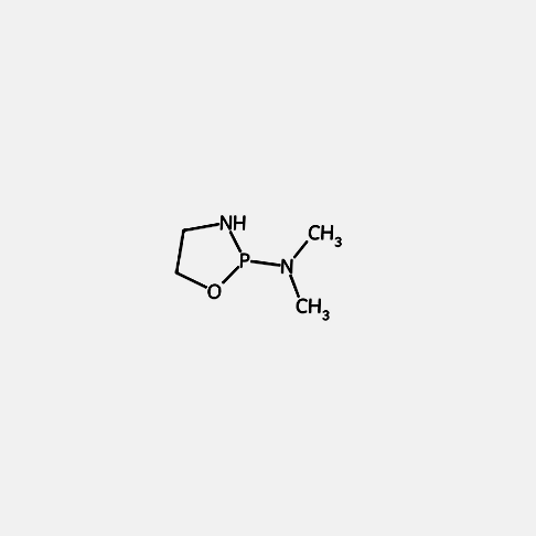 CN(C)P1NCCO1